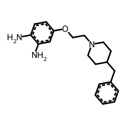 Nc1ccc(OCCN2CCC(Cc3ccccc3)CC2)cc1N